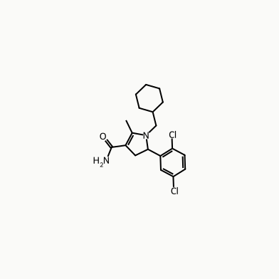 CC1=C(C(N)=O)CC(c2cc(Cl)ccc2Cl)N1CC1CCCCC1